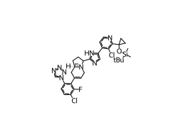 CC(C)(C)[Si](C)(C)OC1(c2nccc(-c3cnc(C4CC[C@@H]5CC(c6c(-n7cnnn7)ccc(Cl)c6F)=CCN45)[nH]3)c2Cl)CC1